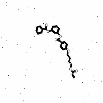 C=CC(=O)OCCCCOc1ccc(C(=O)Oc2cccc(OC(=O)c3ccccc3)c2)cc1